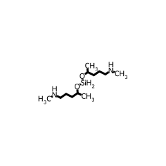 CNCCCC(C)O[SiH2]OC(C)CCCNC